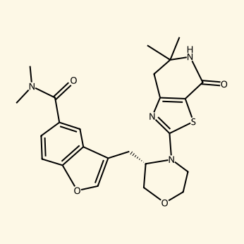 CN(C)C(=O)c1ccc2occ(C[C@H]3COCCN3c3nc4c(s3)C(=O)NC(C)(C)C4)c2c1